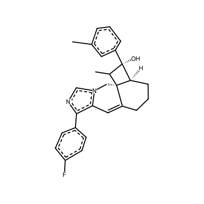 Cc1cccc([C@]2(O)C(C)[C@]34Cn5cnc(-c6ccc(F)cc6)c5C=C3CCC[C@@H]42)c1